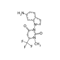 Cn1c(C(F)(F)F)cc(=O)n(-n2ccc3ccc(N)cc32)c1=O